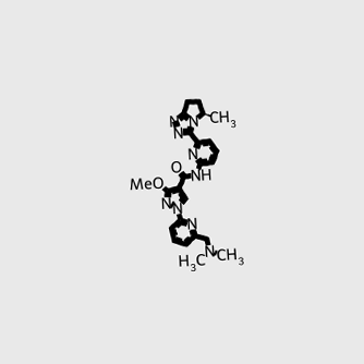 COc1nn(-c2cccc(CN(C)C)n2)cc1C(=O)Nc1cccc(-c2nnc3n2[C@@H](C)CC3)n1